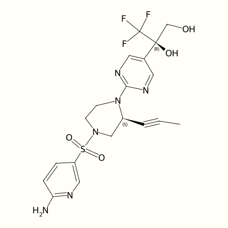 CC#C[C@H]1CN(S(=O)(=O)c2ccc(N)nc2)CCN1c1ncc([C@@](O)(CO)C(F)(F)F)cn1